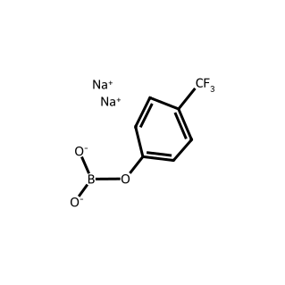 [Na+].[Na+].[O-]B([O-])Oc1ccc(C(F)(F)F)cc1